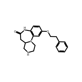 O=C1CC2CNCCN2c2cc(OCCc3ccccc3)ccc2N1